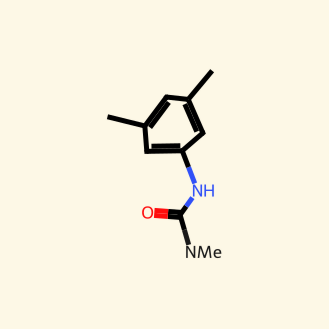 CNC(=O)Nc1cc(C)cc(C)c1